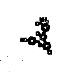 N#Cc1ccc(COc2cc(Cl)ccc2C2CC(=O)N(c3cccc(C(N)=O)c3)C2)cc1